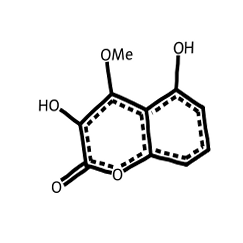 COc1c(O)c(=O)oc2cccc(O)c12